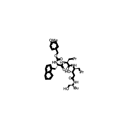 CC[C@H](C)[C@@H](CO)NC(=O)C[C@H](O)[C@H](CC(C)C)NC(=O)[C@H](CC(C)C)NC(=O)[C@H](Cc1cccc2ccccc12)NC(=O)OCc1ccc(OC)cc1